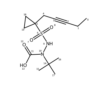 CCC#CCC1(S(=O)(=O)NN(C(=O)O)C(C)(C)C)CC1